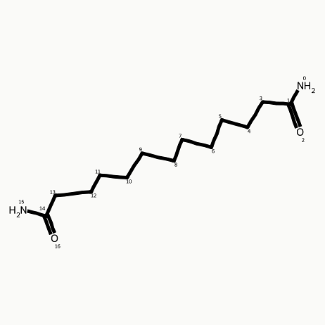 NC(=O)CCCCCCCCCCCC(N)=O